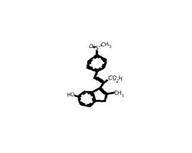 CC1=C(C(=Cc2ccc([S+](C)[O-])cc2)C(=O)O)c2cc(O)ccc2C1